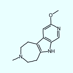 COc1cc2c3c([nH]c2cn1)CCN(C)CC3